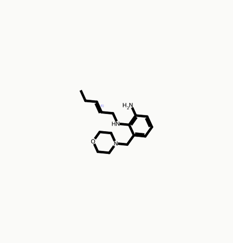 CC/C=C/CNc1c(N)cccc1CN1CCOCC1